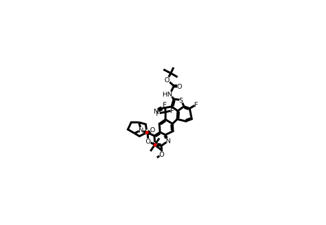 COc1nc(N2CC3CCC(C2)N3C(=O)OC(C)(C)C)c2cc(C(F)(F)F)c(-c3ccc(F)c4sc(NC(=O)OC(C)(C)C)c(C#N)c34)cc2n1